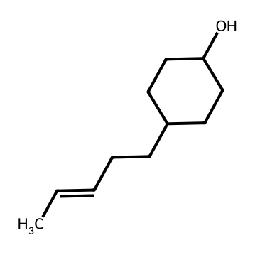 C/C=C/CCC1CCC(O)CC1